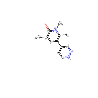 CCc1c(-c2ccnnc2)cc(NC(C)=O)c(=O)n1C